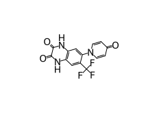 O=c1ccn(-c2cc3[nH]c(=O)c(=O)[nH]c3cc2C(F)(F)F)cc1